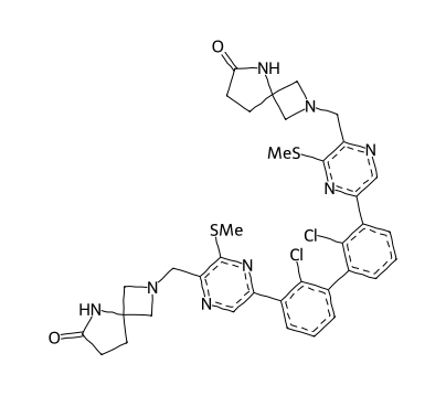 CSc1nc(-c2cccc(-c3cccc(-c4cnc(CN5CC6(CCC(=O)N6)C5)c(SC)n4)c3Cl)c2Cl)cnc1CN1CC2(CCC(=O)N2)C1